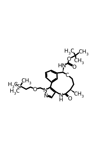 C[C@@H]1CCC[C@H](NC(=O)OC(C)(C)C)c2cccc(c2)-c2c(cnn2COCC[Si](C)(C)C)NC1=O